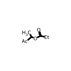 CCC(=O)OC(C)C(C)=O